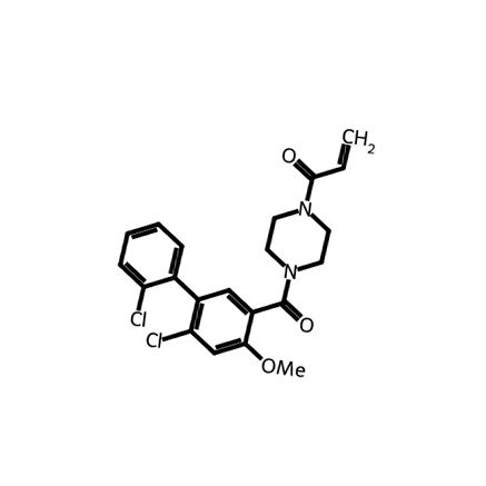 C=CC(=O)N1CCN(C(=O)c2cc(-c3ccccc3Cl)c(Cl)cc2OC)CC1